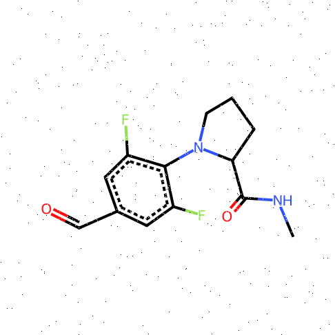 CNC(=O)C1CCCN1c1c(F)cc(C=O)cc1F